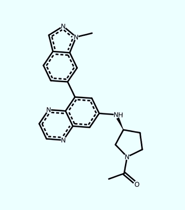 CC(=O)N1CC[C@H](Nc2cc(-c3ccc4cnn(C)c4c3)c3nccnc3c2)C1